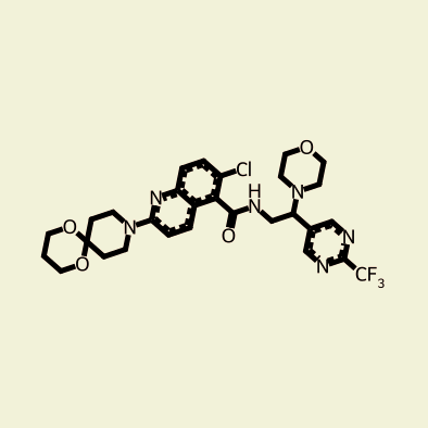 O=C(NCC(c1cnc(C(F)(F)F)nc1)N1CCOCC1)c1c(Cl)ccc2nc(N3CCC4(CC3)OCCCO4)ccc12